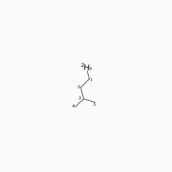 [2H]CCC(C)C